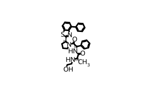 C[C@H](NCCO)C(=O)N[C@H](C(=O)N1CCC[C@H]1c1nc2c(-c3ccccc3)cccc2s1)c1ccccc1